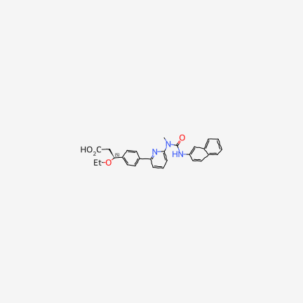 CCO[C@@H](CC(=O)O)c1ccc(-c2cccc(N(C)C(=O)Nc3ccc4ccccc4c3)n2)cc1